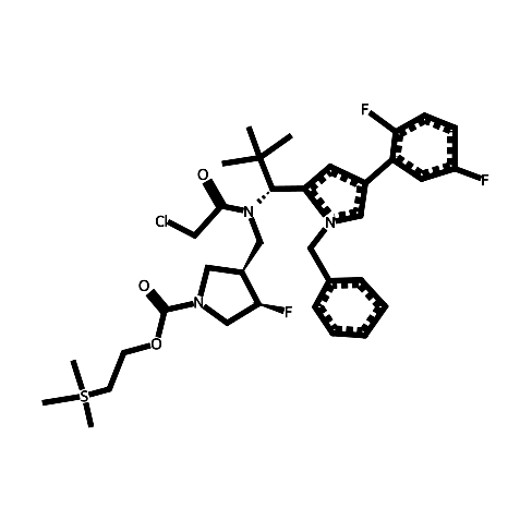 CC(C)(C)[C@H](c1cc(-c2cc(F)ccc2F)cn1Cc1ccccc1)N(C[C@@H]1CN(C(=O)OCCS(C)(C)C)C[C@@H]1F)C(=O)CCl